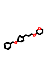 c1ccc(COc2ccc(CCCOC3CCCOC3)cc2)cc1